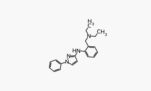 CCN(CC)Cc1ccccc1Nc1ccn(-c2ccccc2)n1